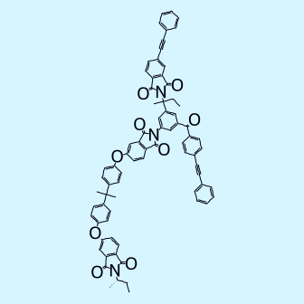 CC[C@H](C)N1C(=O)c2ccc(Oc3ccc(C(C)(C)c4ccc(Oc5ccc6c(c5)C(=O)N(c5cc(C(=O)c7ccc(C#Cc8ccccc8)cc7)cc(C(C)(CC)N7C(=O)c8ccc(C#Cc9ccccc9)cc8C7=O)c5)C6=O)cc4)cc3)cc2C1=O